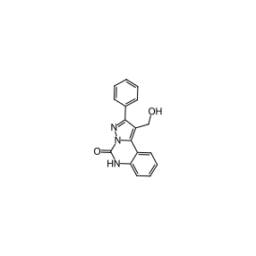 O=c1[nH]c2ccccc2c2c(CO)c(-c3ccccc3)nn12